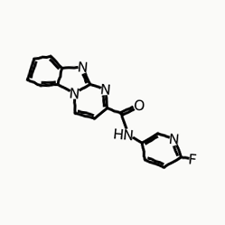 O=C(Nc1ccc(F)nc1)c1ccn2c(n1)nc1ccccc12